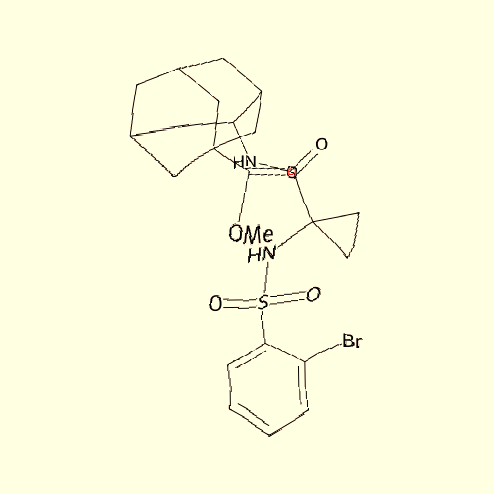 COC(=O)C12CC3CC(C1)C(NC(=O)C1(NS(=O)(=O)c4ccccc4Br)CC1)C(C3)C2